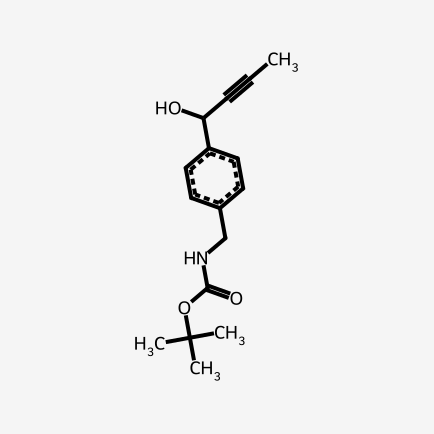 CC#CC(O)c1ccc(CNC(=O)OC(C)(C)C)cc1